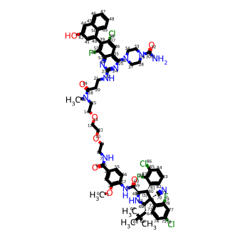 COc1cc(C(=O)NCCOCCOCCN(C)C(=O)CCNc2nc(N3CCN(C(N)=O)CC3)c3cc(Cl)c(-c4cc(O)cc5ccccc45)c(F)c3n2)ccc1NC(=O)[C@@H]1N[C@@H](CC(C)(C)C)[C@](C#N)(c2ccc(Cl)cc2F)[C@H]1c1cccc(Cl)c1F